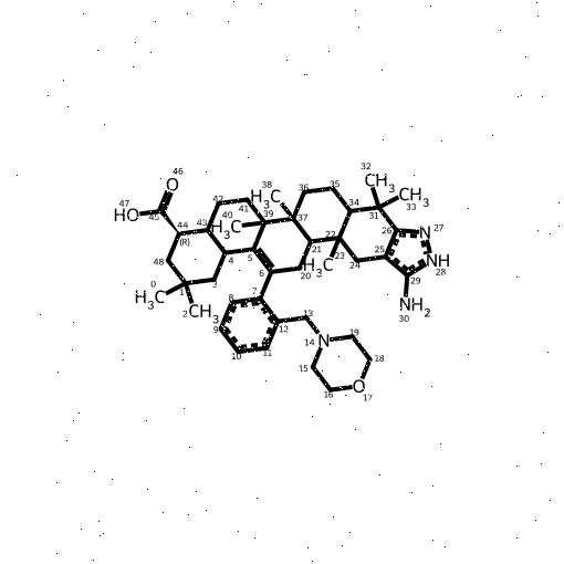 CC1(C)CC2C3=C(c4ccccc4CN4CCOCC4)CC4C5(C)Cc6c(n[nH]c6N)C(C)(C)C5CCC4(C)C3(C)CCC2[C@H](C(=O)O)C1